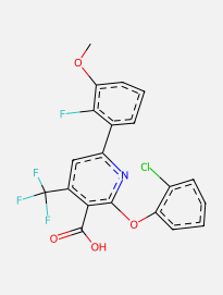 COc1cccc(-c2cc(C(F)(F)F)c(C(=O)O)c(Oc3ccccc3Cl)n2)c1F